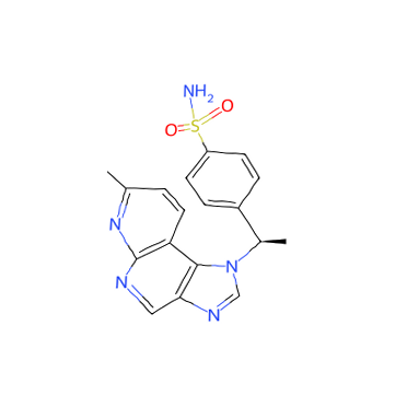 Cc1ccc2c(ncc3ncn([C@H](C)c4ccc(S(N)(=O)=O)cc4)c32)n1